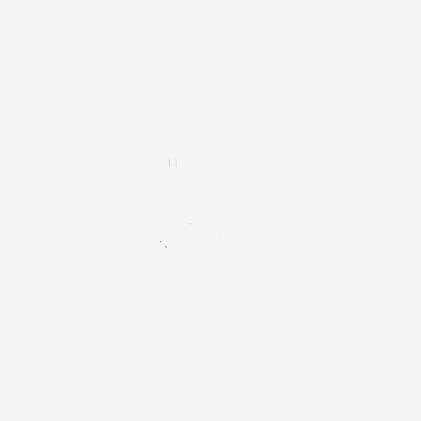 O.O.O=C([B]c1ccccc1)N1CCCC1